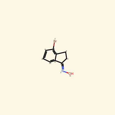 O/N=C1\CCc2c(Br)cccc21